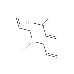 C=CC(N)=O.C=CCN(Cl)CC=C